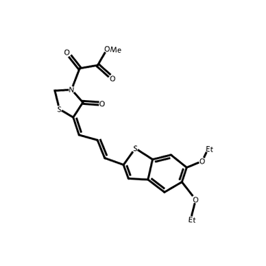 CCOc1cc2cc(C=CC=C3SCN(C(=O)C(=O)OC)C3=O)sc2cc1OCC